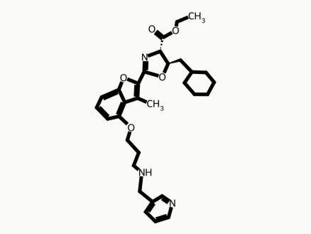 CCOC(=O)[C@H]1N=C(c2oc3cccc(OCCCNCc4cccnc4)c3c2C)O[C@@H]1CC1CCCCC1